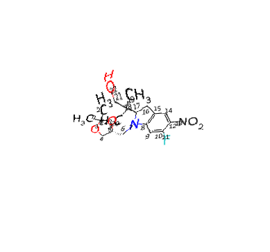 CC1(C)OC[C@@H](CN2c3cc(F)c([N+](=O)[O-])cc3CC2C(C)(C)CO)O1